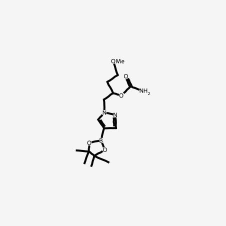 COCCC(Cn1cc(B2OC(C)(C)C(C)(C)O2)cn1)OC(N)=O